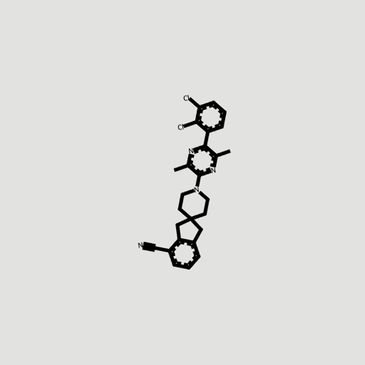 Cc1nc(N2CCC3(CC2)Cc2cccc(C#N)c2C3)c(C)nc1-c1cccc(Cl)c1Cl